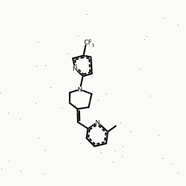 Cc1cccc(C=C2CCN(c3ccc(C(F)(F)F)cn3)CC2)n1